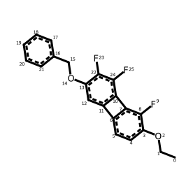 CCOc1ccc2c(c1F)-c1c-2cc(OCc2ccccc2)c(F)c1F